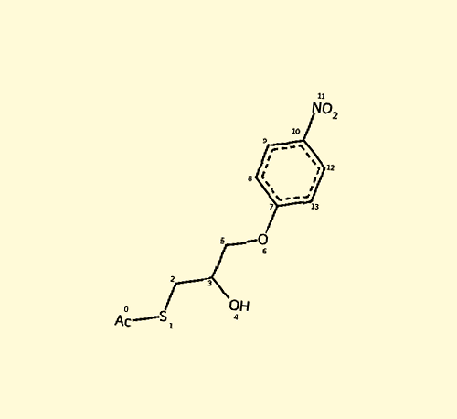 CC(=O)SCC(O)COc1ccc([N+](=O)[O-])cc1